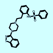 O=S(=O)(Nc1ccccc1CCN1CCN(c2nsc3ccccc23)CC1)c1ccccc1